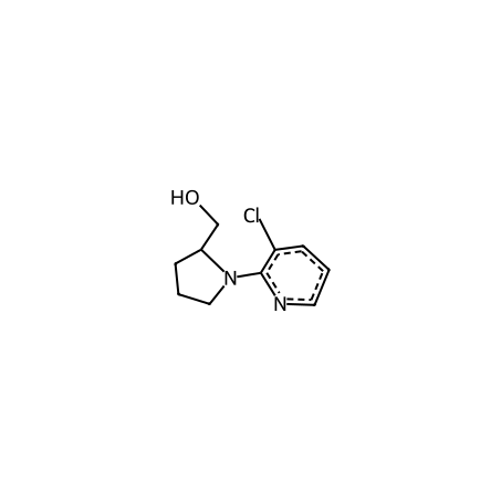 OCC1CCCN1c1ncccc1Cl